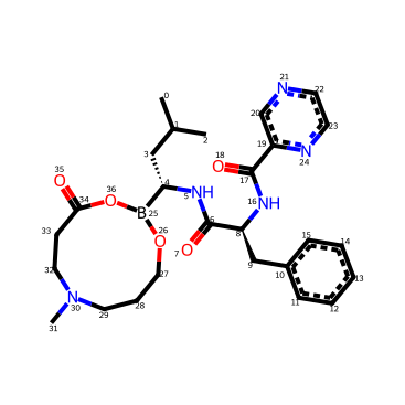 CC(C)C[C@H](NC(=O)[C@H](Cc1ccccc1)NC(=O)c1cnccn1)B1OCCCN(C)CCC(=O)O1